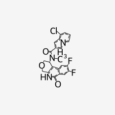 CN(C(=O)c1cc2c(Cl)cccn2c1)[C@H]1COCc2[nH]c(=O)c3cc(F)c(F)cc3c21